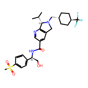 CC(C)[C@H]1c2ncc(C(=O)N[C@@H](CO)c3ccc(S(C)(=O)=O)cc3)cc2CN1C[C@H]1CC[C@H](C(F)(F)F)CC1